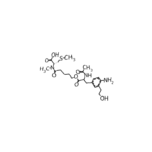 CSC[C@@H](C(=O)O)N(C)C(=O)CCCCOC(=O)C(Cc1ccc(N)c(CCO)c1)NC(C)=O